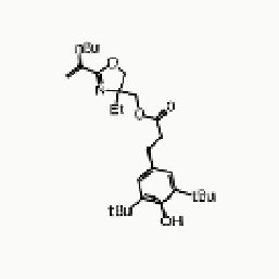 C=C(CCCC)C1=NC(CC)(COC(=O)CCc2cc(C(C)(C)C)c(O)c(C(C)(C)C)c2)CO1